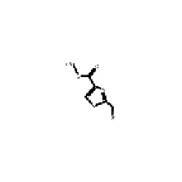 CCCCOC(=O)c1csc(CBr)n1